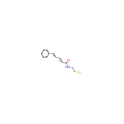 O=C(/C=C/C=C/c1ccccc1)NCCS